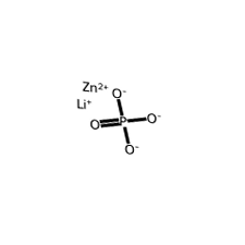 O=P([O-])([O-])[O-].[Li+].[Zn+2]